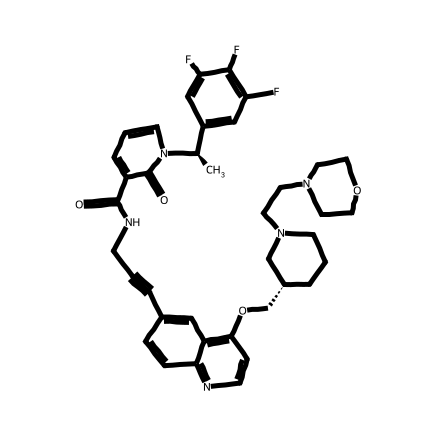 C[C@H](c1cc(F)c(F)c(F)c1)n1cccc(C(=O)NCC#Cc2ccc3nccc(OC[C@H]4CCCN(CCN5CCOCC5)C4)c3c2)c1=O